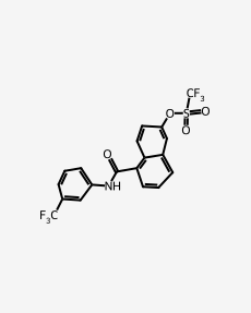 O=C(Nc1cccc(C(F)(F)F)c1)c1cccc2cc(OS(=O)(=O)C(F)(F)F)ccc12